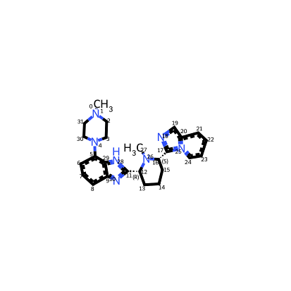 CN1CCN(c2cccc3nc([C@H]4CCC[C@@H](c5ncc6ccccn56)N4C)[nH]c23)CC1